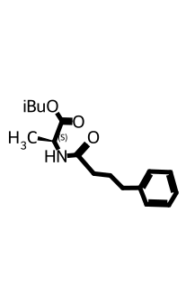 CC(C)COC(=O)[C@H](C)NC(=O)CCCc1ccccc1